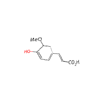 COC1CC(/C=C/C(=O)O)=CC=C1O